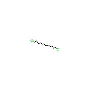 ClCCCCCCCCCCCCCl